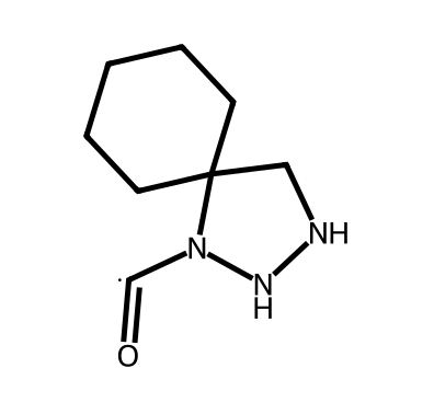 O=[C]N1NNCC12CCCCC2